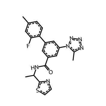 Cc1ccc(-c2cc(C(=O)NC(C)c3nccs3)cc(-n3nnnc3C)c2)c(F)c1